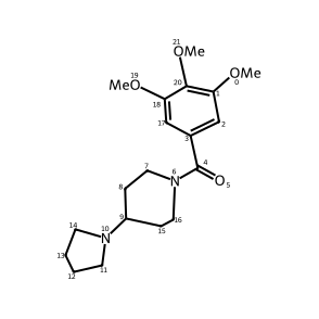 COc1cc(C(=O)N2CCC(N3CCCC3)CC2)cc(OC)c1OC